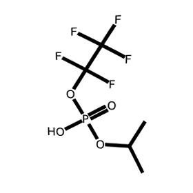 CC(C)OP(=O)(O)OC(F)(F)C(F)(F)F